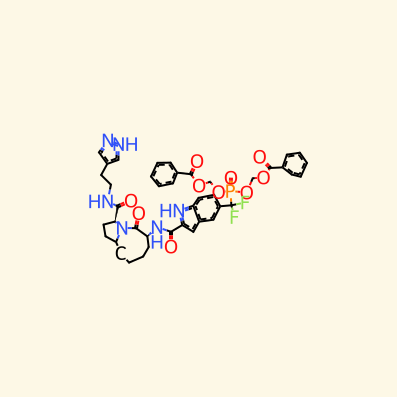 O=C(OCOP(=O)(OCOC(=O)c1ccccc1)C(F)(F)c1ccc2[nH]c(C(=O)N[C@H]3CCCCC4CC[C@@H](C(=O)NCCc5cn[nH]c5)N4C3=O)cc2c1)c1ccccc1